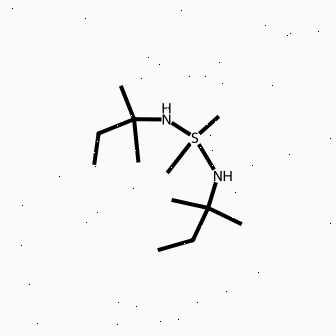 CCC(C)(C)NS(C)(C)NC(C)(C)CC